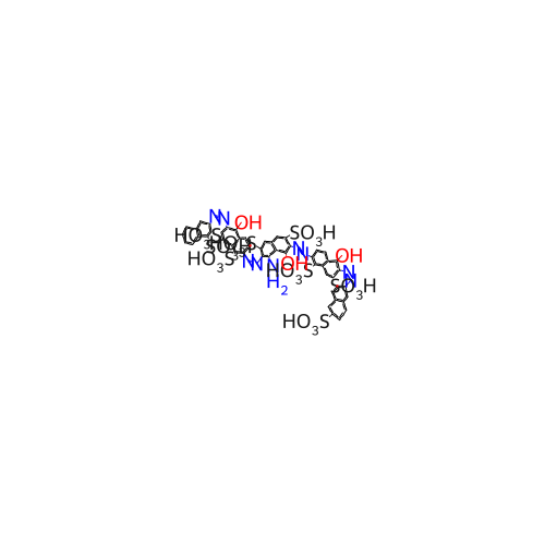 Nc1c(/N=N\c2ccc3c(O)c(/N=N\c4cc(S(=O)(=O)O)c5ccccc5c4)c(S(=O)(=O)O)cc3c2S(=O)(=O)O)c(S(=O)(=O)O)cc2cc(S(=O)(=O)O)c(N=Nc3ccc4c(O)c(/N=N\c5ccc6cc(S(=O)(=O)O)ccc6c5)c(S(=O)(=O)O)cc4c3S(=O)(=O)O)c(O)c12